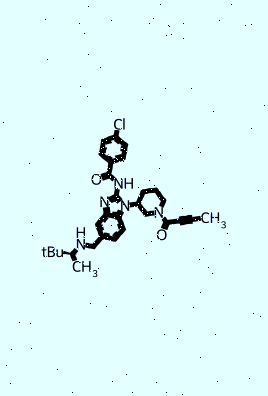 CC#CC(=O)N1CCCC(n2c(NC(=O)c3ccc(Cl)cc3)nc3cc(CN[C@@H](C)C(C)(C)C)ccc32)C1